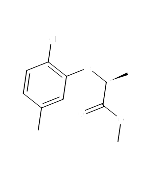 COC(=O)[C@H](C)Oc1cc(C)ccc1Cl